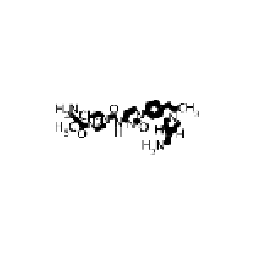 CC(Cc1ccc(-n2ccc(NC(=O)N3CCN(C(=O)C(C)(C)CN)CC3)nc2=O)cc1)N1C[C@@H]2C(CN)[C@@H]2C1